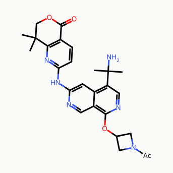 CC(=O)N1CC(Oc2ncc(C(C)(C)N)c3cc(Nc4ccc5c(n4)C(C)(C)COC5=O)ncc23)C1